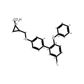 O=C(O)[C@@H]1CC1COc1ccc(-c2cc(F)ccc2Oc2ccccc2)cc1